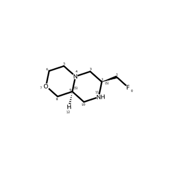 FC[C@@H]1CN2CCOC[C@@H]2CN1